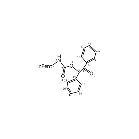 CCCCCNC(=O)OC(C(=O)c1ccccc1)c1ccccc1